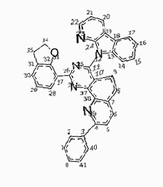 c1ccc(-c2ccc3ccc4c(-n5c6ccccc6c6cccnc65)nc(-c5cccc6c5OCC6)nc4c3n2)cc1